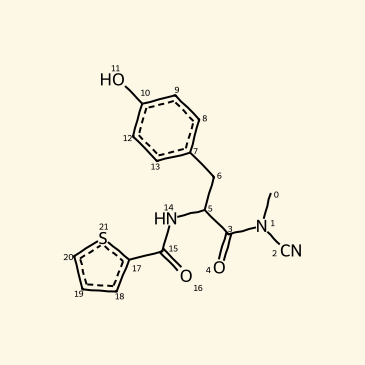 CN(C#N)C(=O)C(Cc1ccc(O)cc1)NC(=O)c1cccs1